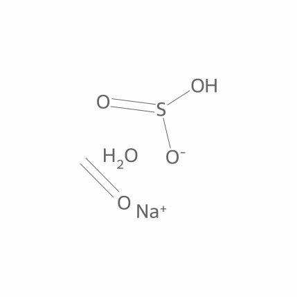 C=O.O.O=S([O-])O.[Na+]